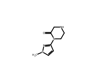 Cn1ccc(N2CCNCC2=O)n1